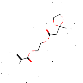 C=C(C)C(=O)OCCOC(=O)CC1(C)OCCO1